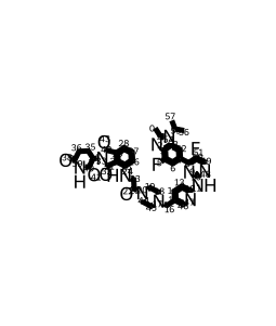 Cc1nc2c(F)cc(-c3nc(Nc4ccc(CN5CCN(C(=O)CNc6cccc7c6C(=O)N(C6CCC(=O)NC6=O)C7=O)CC5)cn4)ncc3F)cc2n1C(C)C